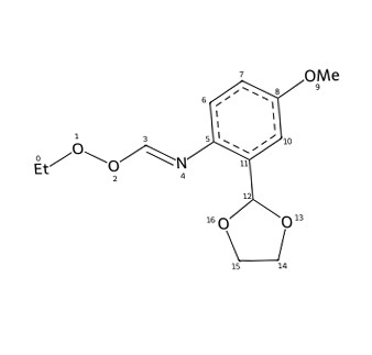 CCOO/C=N/c1ccc(OC)cc1C1OCCO1